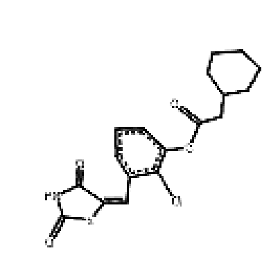 O=C(CC1CCCCC1)Oc1cccc(C=C2SC(=O)NC2=O)c1Cl